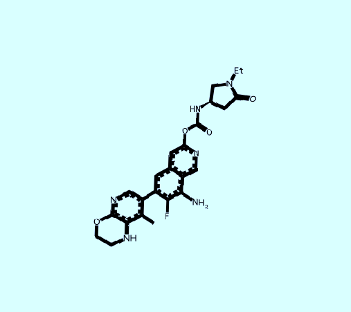 CCN1C[C@H](NC(=O)Oc2cc3cc(-c4cnc5c(c4C)NCCO5)c(F)c(N)c3cn2)CC1=O